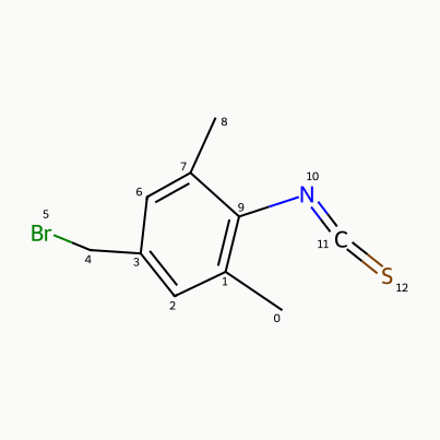 Cc1cc(CBr)cc(C)c1N=C=S